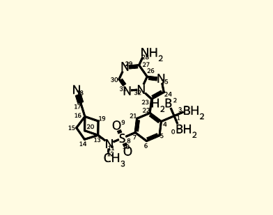 BC(B)(B)c1ccc(S(=O)(=O)N(C)C23CCC(C#N)(C2)C3)cc1-c1cnc2c(N)ncnn12